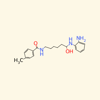 Cc1ccc(C(=O)NCCCCCC(O)Nc2ccccc2N)cc1